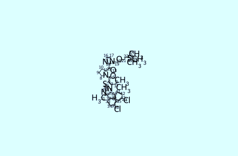 CC(C)C1=C(C(=O)N2CCC[C@H]2C(=O)c2nccn2COCC[Si](C)(C)C)SC2=N[C@@](C)(c3ccc(Cl)cc3)[C@@H](c3ccc(Cl)cc3)N21